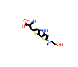 CN(CCO)c1cc2[nH]c3cc(/C=C(\C#N)C(=O)O)sc3c2s1